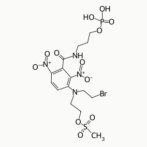 CS(=O)(=O)OCCN(CCBr)c1ccc([N+](=O)[O-])c(C(=O)NCCCOP(=O)(O)O)c1[N+](=O)[O-]